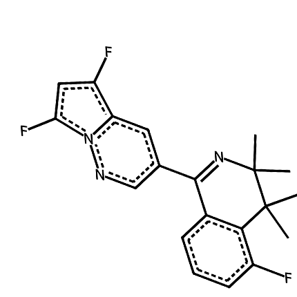 CC1(C)N=C(c2cnn3c(F)cc(F)c3c2)c2cccc(F)c2C1(C)C